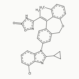 CC(=C1c2ccc(-n3c(C4CC4)nc4c(Cl)cccc43)cc2COc2cccc(C)c21)c1noc(=O)[nH]1